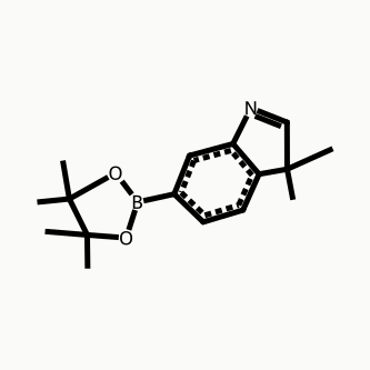 CC1(C)C=Nc2cc(B3OC(C)(C)C(C)(C)O3)ccc21